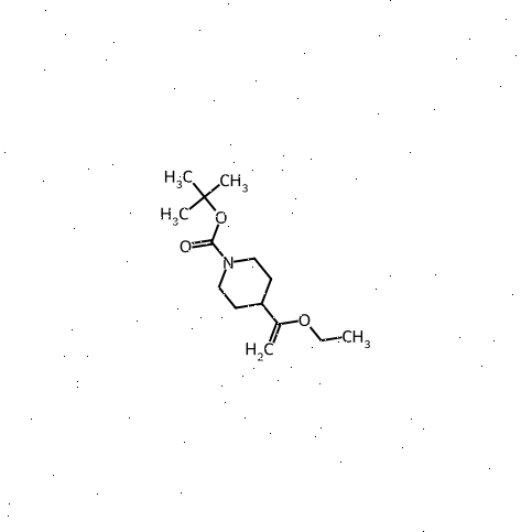 C=C(OCC)C1CCN(C(=O)OC(C)(C)C)CC1